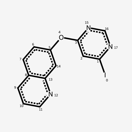 Ic1cc(Oc2ccc3cccnc3c2)ncn1